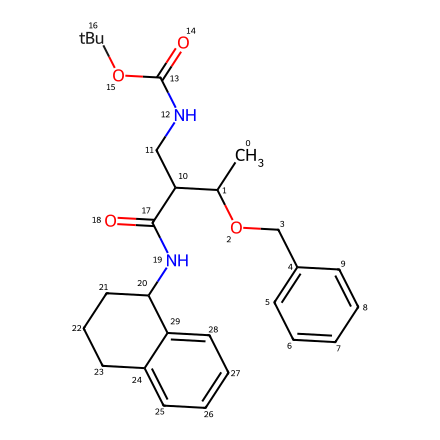 CC(OCc1ccccc1)C(CNC(=O)OC(C)(C)C)C(=O)NC1CCCc2ccccc21